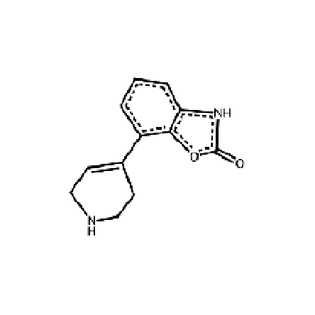 O=c1[nH]c2cccc(C3=CCNCC3)c2o1